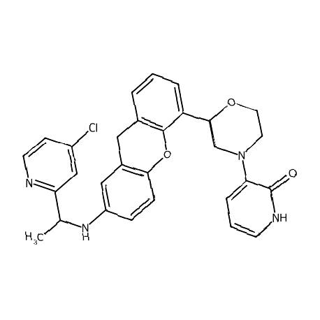 CC(Nc1ccc2c(c1)Cc1cccc(C3CN(c4ccc[nH]c4=O)CCO3)c1O2)c1cc(Cl)ccn1